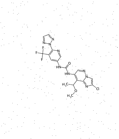 COC(C)c1c(NC(=O)Nc2cnc(-n3nccn3)c(C(F)(F)F)c2)cnn2cc(Cl)nc12